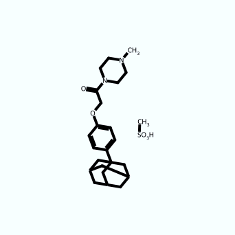 CN1CCN(C(=O)COc2ccc(C34CC5CC(CC(C5)C3)C4)cc2)CC1.CS(=O)(=O)O